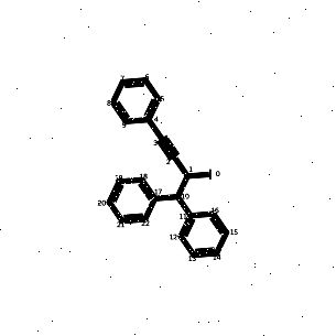 IC(C#Cc1ccccc1)C(c1ccccc1)c1ccccc1